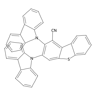 N#Cc1c(-n2c3ccccc3c3ccccc32)c(-n2c3ccccc3c3ccccc32)cc2sc3ccccc3c12